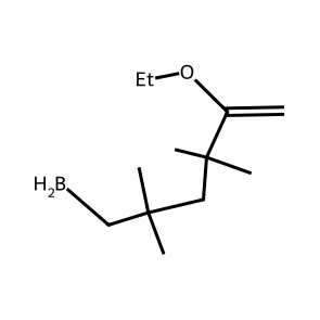 BCC(C)(C)CC(C)(C)C(=C)OCC